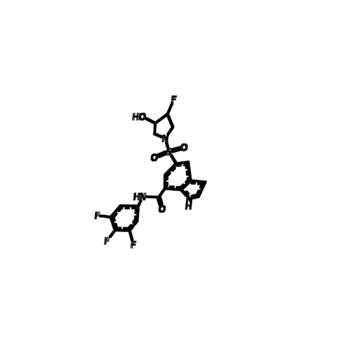 O=C(Nc1cc(F)c(F)c(F)c1)c1cc(S(=O)(=O)N2CC(O)C(F)C2)cc2cc[nH]c12